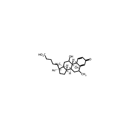 CC(=O)[C@@]1(CCCCC(=O)O)CC[C@H]2[C@@H]3CC(C)C4=CC(=O)C=C[C@]4(C)[C@H]3C(O)C[C@@]21C